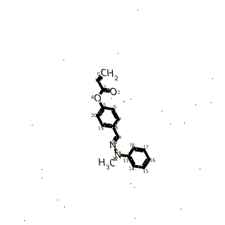 C=CC(=O)Oc1ccc(C=NN(C)c2ccccc2)cc1